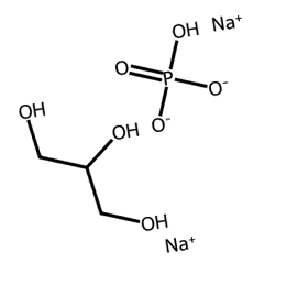 O=P([O-])([O-])O.OCC(O)CO.[Na+].[Na+]